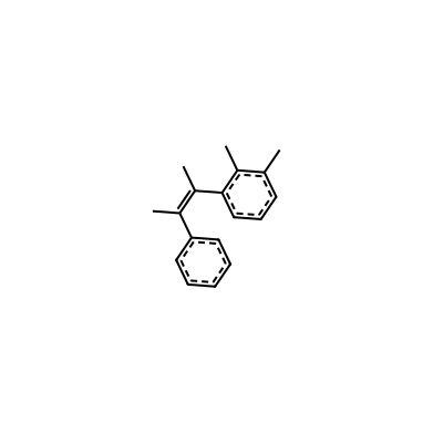 CC(=C(C)c1cccc(C)c1C)c1ccccc1